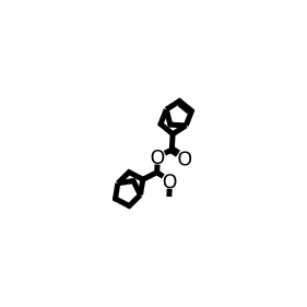 COC(OC(=O)C1CC2C=CC1C2)C1CC2CCC1C2